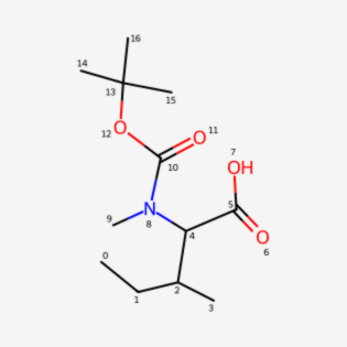 CCC(C)C(C(=O)O)N(C)C(=O)OC(C)(C)C